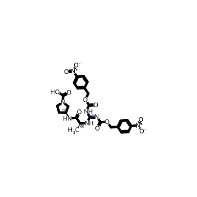 C[C@@H](N/C(=N\C(=O)OCc1ccc([N+](=O)[O-])cc1)NC(=O)OCc1ccc([N+](=O)[O-])cc1)C(=O)N[C@H]1CCN(C(=O)O)C1